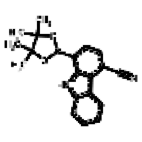 CC1(C)OB(c2ccc(C#N)c3c2[nH]c2ccccc23)OC1(C)C